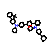 CC1(C)c2ccccc2-c2ccc(N(c3ccccc3)c3ccc(-c4ccc(-c5ccccc5N(c5ccccc5)c5ccc(-c6ccccc6)cc5)cc4)cc3)cc21